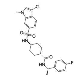 C[C@@H](NC(=O)[C@H]1CC[C@H](NS(=O)(=O)c2ccc3c(Cl)cn(C)c3c2)CC1)c1ccc(F)cc1